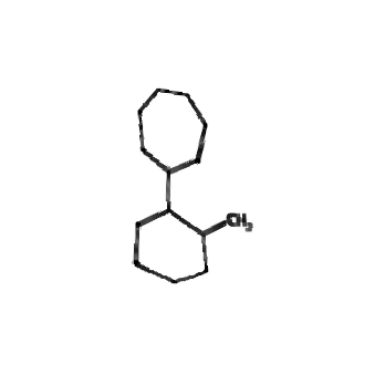 CC1CCCCC1[C]1CCCCCC1